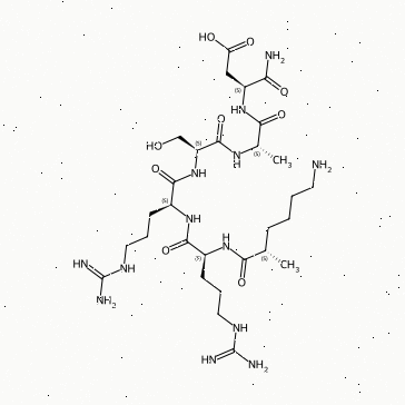 C[C@H](NC(=O)[C@H](CO)NC(=O)[C@H](CCCNC(=N)N)NC(=O)[C@H](CCCNC(=N)N)NC(=O)[C@@H](C)CCCCN)C(=O)N[C@@H](CC(=O)O)C(N)=O